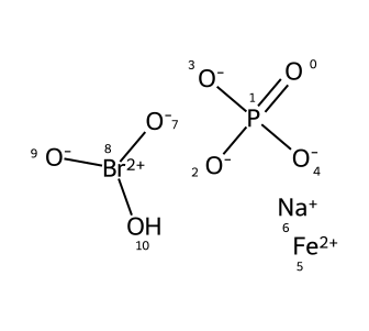 O=P([O-])([O-])[O-].[Fe+2].[Na+].[O-][Br+2]([O-])O